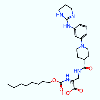 CCCCCCCCOC(=O)N[C@@H](CNC(=O)C1CCN(c2cccc(NC3=NCCCN3)c2)CC1)C(=O)O